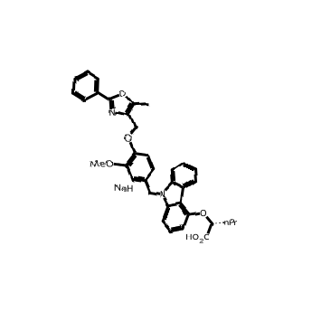 CCC[C@@H](Oc1cccc2c1c1ccccc1n2Cc1ccc(OCc2nc(-c3ccccc3)oc2C)c(OC)c1)C(=O)O.[NaH]